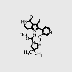 CC1(C)C[C@@H](COc2cnccc2-c2[nH]c3c(c2I)C(=O)NCC3)N(C(=O)OC(C)(C)C)C1